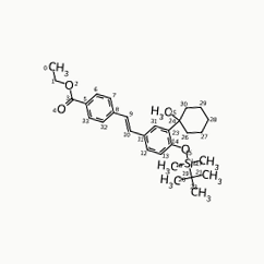 CCOC(=O)c1ccc(/C=C/c2ccc(O[Si](C)(C)C(C)(C)C)c(C3(C)CCCCC3)c2)cc1